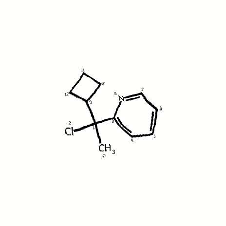 CC(Cl)(c1ccccn1)C1CCC1